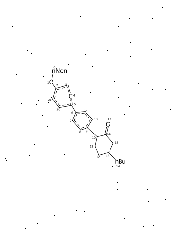 CCCCCCCCCOc1ccc(-c2ccc(C3CCC(CCCC)CC3=O)cc2)cc1